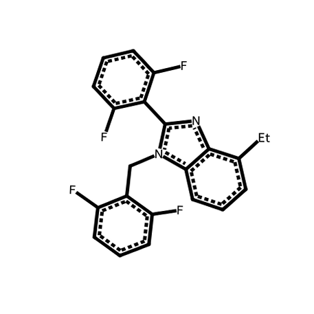 CCc1cccc2c1nc(-c1c(F)cccc1F)n2Cc1c(F)cccc1F